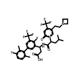 Cc1ccc(F)c(C)c1-c1cc(C(CC(=O)O)NC(=O)C(CC(C)C)n2cc(CCN3CCC3)c(C(F)(F)F)cc2=O)c(F)c(C(F)(F)F)c1